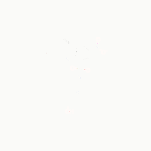 C#Cc1cc([N+](=O)[O-])cc(S(=O)(=O)N2CCN(CCO)CC2)c1N(CCBr)CCBr